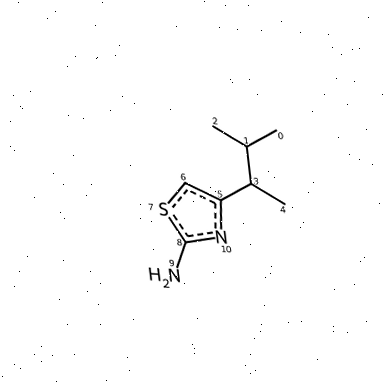 CC(C)C(C)c1csc(N)n1